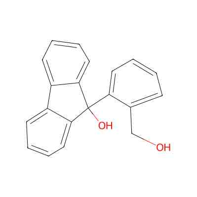 OCc1ccccc1C1(O)c2ccccc2-c2ccccc21